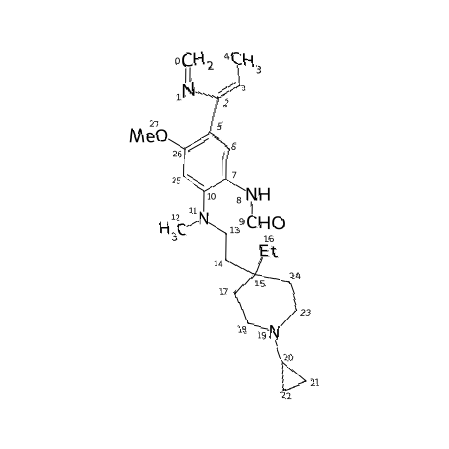 C=N/C(=C\C)c1cc(NC=O)c(N(C)CCC2(CC)CCN(C3CC3)CC2)cc1OC